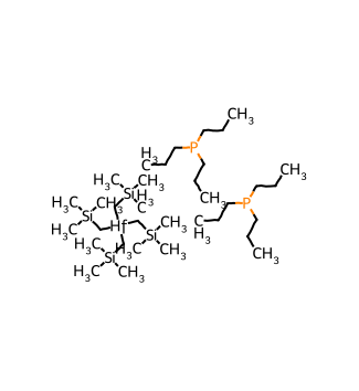 CCCP(CCC)CCC.CCCP(CCC)CCC.C[Si](C)(C)[CH2][Hf]([CH2][Si](C)(C)C)([CH2][Si](C)(C)C)[CH2][Si](C)(C)C